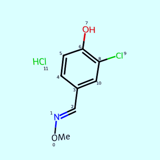 CON=Cc1ccc(O)c(Cl)c1.Cl